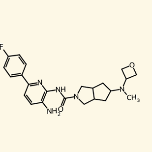 CN(C1COC1)C1CC2CN(C(=O)Nc3nc(-c4ccc(F)cc4)ccc3N)CC2C1